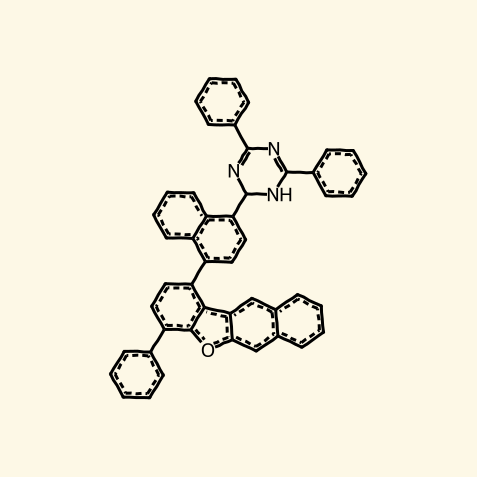 c1ccc(C2=NC(c3ccc(-c4ccc(-c5ccccc5)c5oc6cc7ccccc7cc6c45)c4ccccc34)NC(c3ccccc3)=N2)cc1